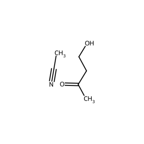 CC#N.CC(=O)CCO